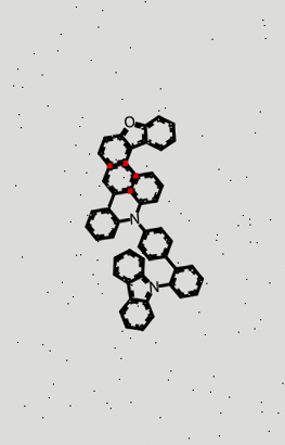 c1ccc(-c2ccccc2N(c2ccc(-c3ccccc3-n3c4ccccc4c4ccccc43)cc2)c2cccc(-c3cccc4oc5ccccc5c34)c2)cc1